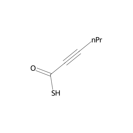 CCCC#CC(=O)S